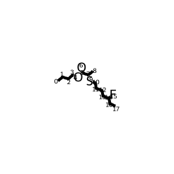 CCCCOC(=O)C(C)SCCCCC(F)CC